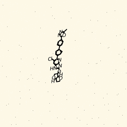 Cc1nnc(-c2ccc(-c3ccc(-c4nc5nc(OC6CO[C@@H]7CCO[C@H]67)[nH]c5cc4Cl)cc3)cc2)o1